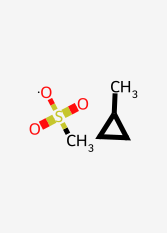 CC1CC1.CS([O])(=O)=O